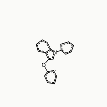 [c]1ccccc1Oc1cn(-c2ccccc2)c2ccccc12